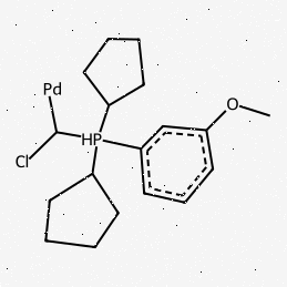 COc1cccc([PH]([CH](Cl)[Pd])(C2CCCC2)C2CCCC2)c1